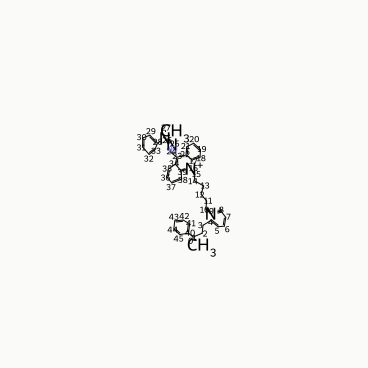 CC(CCc1cccc[n+]1CCCCCC[n+]1c2ccccc2c(/C=N/N(C)c2ccccc2)c2ccccc21)c1ccccc1